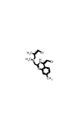 CC/C=C(/C)CN(C)CC1=Nc2cc(C)ccc2/C(=C\CC)N1